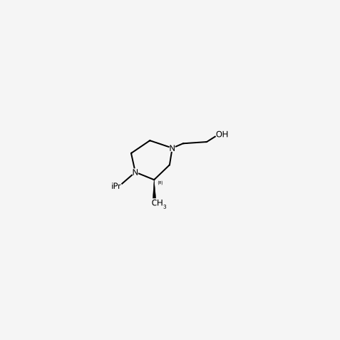 CC(C)N1CCN(CCO)C[C@H]1C